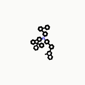 CC1C=C(c2cccc(-c3ccc(N(c4cccc(-c5ccccc5-c5ccccc5)c4)c4ccc5c(c4)C(c4ccccc4)(C4C=CC=CC4)c4ccccc4-5)cc3)c2)C=C2C=CC=CC21